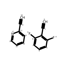 C#Cc1c(F)cccc1F.C#Cc1ccccn1